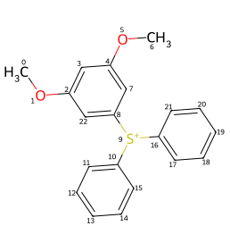 COc1cc(OC)cc([S+](c2ccccc2)c2ccccc2)c1